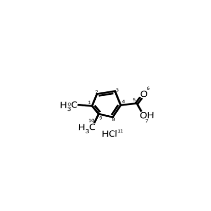 Cc1ccc(C(=O)O)cc1C.Cl